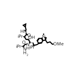 COCCCc1cn(C)c2ccc(C[C@@H](C[C@H](NC(=O)[C@@H](N)C(C)C)[C@@H](O)C[C@H](C(=O)NCC3CC3)C(C)C)C(C)C)cc12